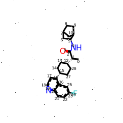 CC(C(=O)N[C@H]1CC2CCC1C2)[C@H]1CC[C@@H](c2ccnc3ccc(F)cc32)CC1